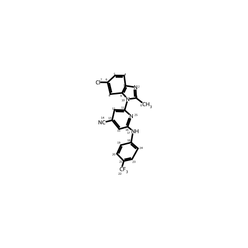 Cc1nc2ccc(Cl)cc2n1-c1cc(C#N)cc(Nc2ccc(C(F)(F)F)cc2)n1